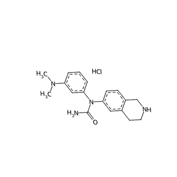 CN(C)c1cccc(N(C(N)=O)c2ccc3c(c2)CCNC3)c1.Cl